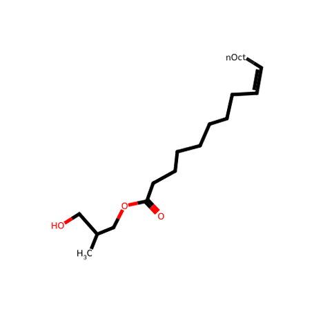 CCCCCCCC/C=C\CCCCCCCC(=O)OCC(C)CO